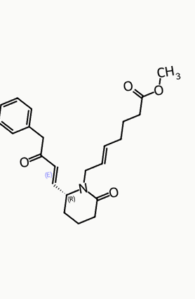 COC(=O)CCCC=CCN1C(=O)CCC[C@@H]1/C=C/C(=O)Cc1ccccc1